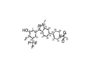 Cn1nc(-c2cc(O)c(F)c(C(F)(F)F)c2)c2ccc(C3=CCN(S(C)(=O)=O)CC3)cc21